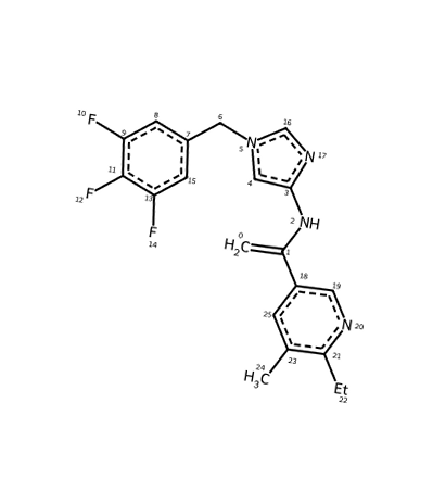 C=C(Nc1cn(Cc2cc(F)c(F)c(F)c2)cn1)c1cnc(CC)c(C)c1